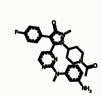 CC(=O)N1CCC(n2c(-c3ccnc(N(C)c4cccc(N)c4)n3)c(-c3ccc(F)cc3)c(=O)n2C)CC1